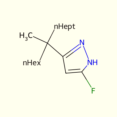 CCCCCCCC(C)(CCCCCC)c1cc(F)[nH]n1